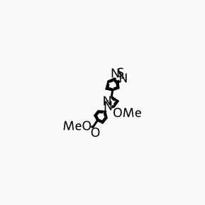 COC(=O)c1ccc(-n2nc(-c3ccc4nsnc4c3)cc2OC)cc1